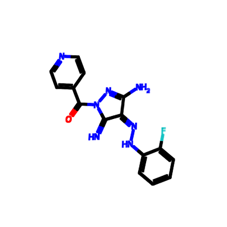 N=C1/C(=N\Nc2ccccc2F)C(N)=NN1C(=O)c1ccncc1